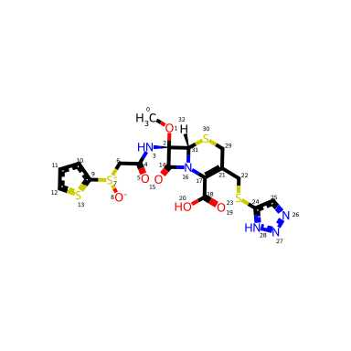 CO[C@@]1(NC(=O)C[S+]([O-])c2cccs2)C(=O)N2C(C(=O)O)=C(CSc3cnn[nH]3)CS[C@H]21